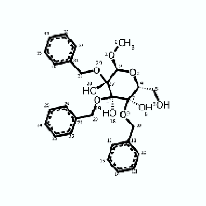 CO[C@H]1O[C@H](CO)[C@@](O)(OCc2ccccc2)[C@@](O)(OCc2ccccc2)[C@]1(O)OCc1ccccc1